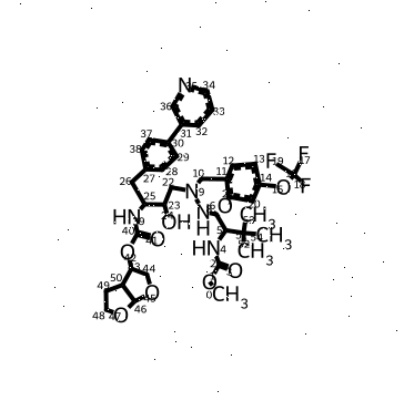 COC(=O)NC(C(=O)NN(Cc1ccc(OC(F)(F)F)cc1)CC(O)C(Cc1ccc(-c2cccnc2)cc1)NC(=O)OC1COC2OCCC12)C(C)(C)C